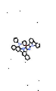 c1ccc(N(c2ccccc2)c2c3ccccc3cc3c4cc5ccccc5c5c6nc7c(cc6n(c23)c45)c2cccc3c4ccccc4n7c32)cc1